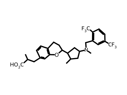 CC(Cc1ccc2c(c1)OC(C1CC(N(C)Cc3cc(C(F)(F)F)ccc3C(F)(F)F)CC1C)CC2)C(=O)O